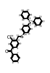 O=C(c1ccccc1)c1ccc(CSc2ccc([S+](c3ccccc3)c3ccccc3)cc2)c(Cl)c1